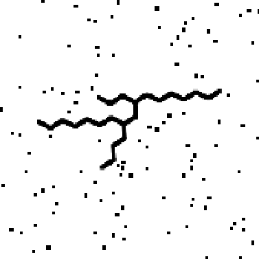 CCCCCCCC(CCC)CC(CCCC)CCCCCCC